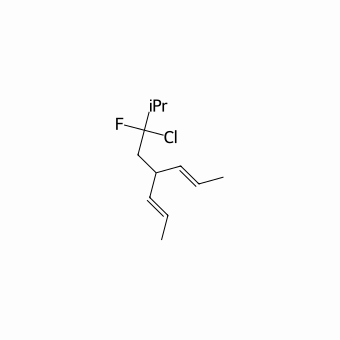 CC=CC(C=CC)CC(F)(Cl)C(C)C